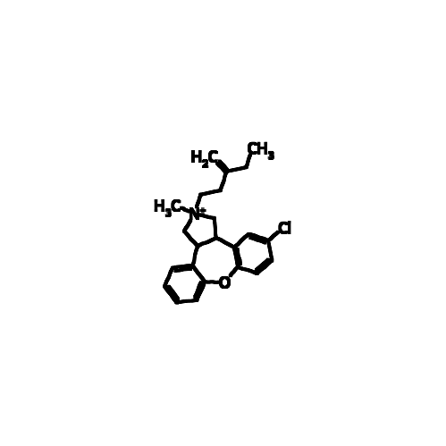 C=C(CC)CC[N+]1(C)CC2c3ccccc3Oc3ccc(Cl)cc3C2C1